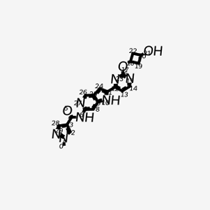 Cn1cc(C(=O)Nc2cc3[nH]c(-c4ccnc(OC5CC(O)C5)n4)cc3cn2)cn1